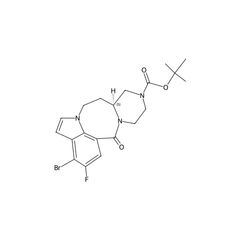 CC(C)(C)OC(=O)N1CCN2C(=O)c3cc(F)c(Br)c4ccn(c34)CC[C@H]2C1